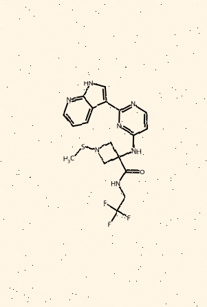 CSN1CC(Nc2ccnc(-c3c[nH]c4ncccc34)n2)(C(=O)NCC(F)(F)F)C1